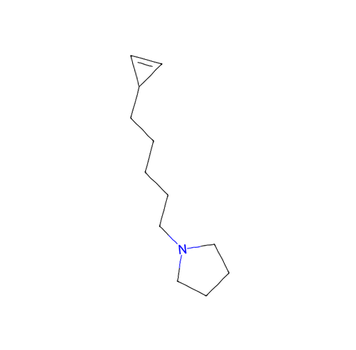 C1=CC1CCCCCN1CCCC1